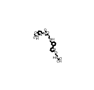 O=C(O)NCCOc1cccc(-c2cccc(CNCC[C@H]3CN(c4ccc5c(n4)NC(=O)CO5)C(=O)O3)c2)n1